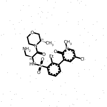 CCc1c(-c2cc(Cl)cn(C)c2=O)cccc1S(=O)(=O)N[C@@H](CN)C(=O)N1CCOC[C@@H]1C